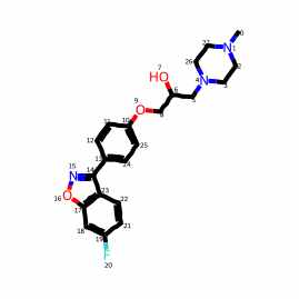 CN1CCN(CC(O)COc2ccc(-c3noc4cc(F)ccc34)cc2)CC1